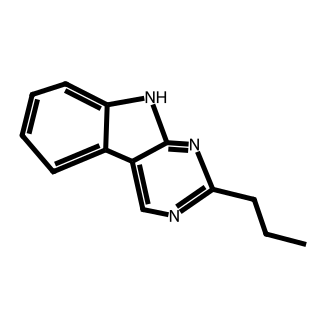 CCCc1ncc2c(n1)[nH]c1ccccc12